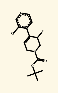 CC(C)(C)OC(=O)N1CC=C(c2ccncc2Cl)C(F)C1